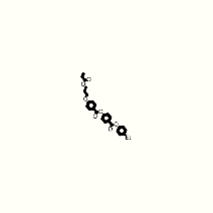 C=CC(=O)OCCCOc1ccc(C(=O)Oc2ccc(C(=O)Oc3ccc(CC)cc3)cc2)cc1